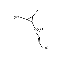 C/C=C/C=O.CCOC(=O)C1C(C)C1C=O